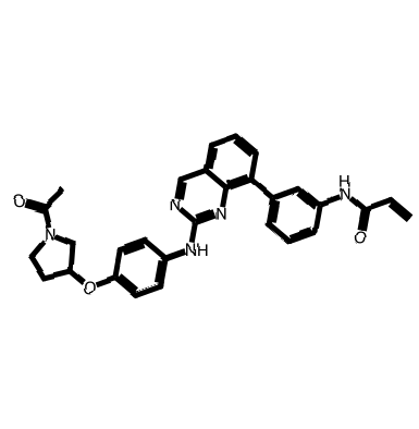 C=CC(=O)Nc1cccc(-c2cccc3cnc(Nc4ccc(OC5CCN(C(C)=O)C5)cc4)nc23)c1